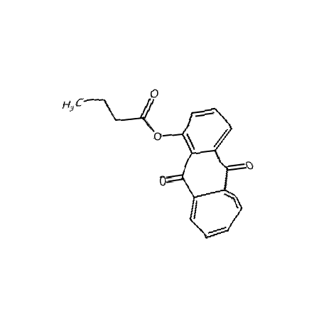 CCCC(=O)Oc1cccc2c1C(=O)c1ccccc1C2=O